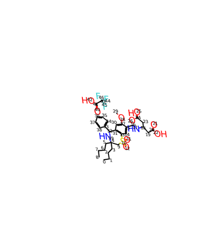 CCCCC1(CCCC)CS(=O)(=O)c2cc(CNC(CC(=O)O)CC(=O)O)c(OC)cc2C(c2ccccc2)N1.O=C(O)C(F)(F)F